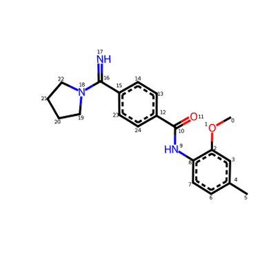 COc1cc(C)ccc1NC(=O)c1ccc(C(=N)N2CCCC2)cc1